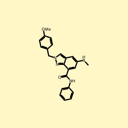 CBc1cc(C(=O)Nc2ccccc2)c2nn(Cc3ccc(OC)cc3)cc2c1